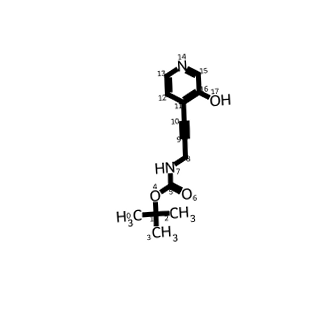 CC(C)(C)OC(=O)NCC#Cc1ccncc1O